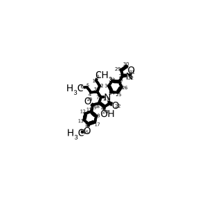 CCCC(CCC)C1C(C(=O)c2ccc(OC)cc2)=C(O)C(=O)N1c1ccc(-c2ccon2)cc1